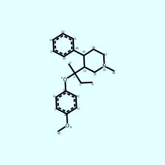 CCC(C)(Oc1ccc(OC)cc1)C1CN(C)CCC1c1ccccc1